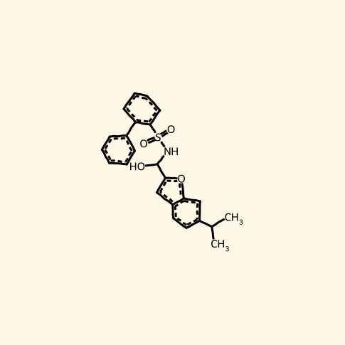 CC(C)c1ccc2cc(C(O)NS(=O)(=O)c3ccccc3-c3ccccc3)oc2c1